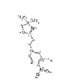 CC1(C)COC(CCc2ccc([N+](=O)[O-])c(F)c2)=N1